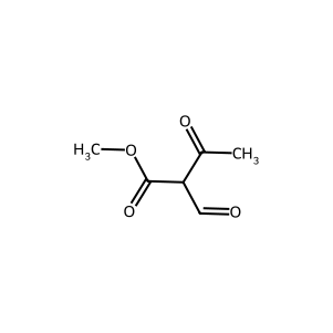 COC(=O)C(C=O)C(C)=O